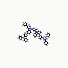 C=C/C(=C\C(=C/C)n1c2ccc(-c3ccccc3)cc2c2cc(-c3ccc4c(c3)c3ccccc3n4-c3ccccc3)ccc21)n1c2ccccc2c2c(-c3cccc(-c4nc(-c5ccccc5)nc(-c5ccccc5)n4)c3)cccc21